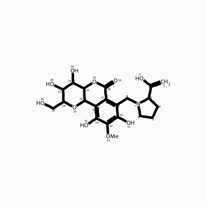 C=C(O)C1CCCN1Cc1c(O)c(OC)c(O)c2c1C(=O)OC1C2OC(CO)C(O)C1O